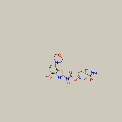 COc1ccc(N2CCOCC2)c2sc(NC(=O)ON3CCC4(CCNC4=O)CC3)nc12